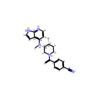 C=C(c1ccc(C#N)cc1)N1CC[C@@H](C)[C@@H](N(C)c2ccnc3[nH]ccc23)C1